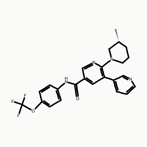 C[C@@H]1CCCN(c2ncc(C(=O)Nc3ccc(OC(F)(F)F)cc3)cc2-c2cccnc2)C1